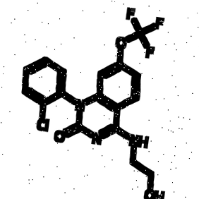 O=c1nc(NCCO)c2ccc(OC(F)(F)F)cc2n1-c1ccccc1Cl